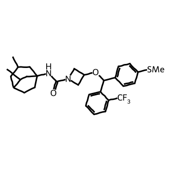 CSc1ccc(C(OC2CN(C(=O)NC34CCC(CC(C)C3)C(C)C4)C2)c2ccccc2C(F)(F)F)cc1